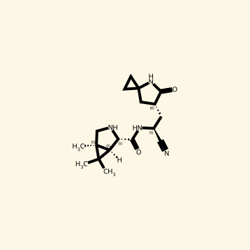 CC1(C)[C@@H]2[C@@H](C(=O)N[C@H](C#N)C[C@@H]3CC4(CC4)NC3=O)NC[C@@]21C